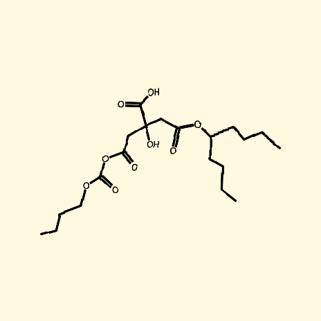 CCCCOC(=O)OC(=O)CC(O)(CC(=O)OC(CCCC)CCCC)C(=O)O